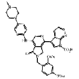 COc1ccc(CN2Cc3c(-c4cn(C(=O)O)c5ncccc45)ncc(Nc4ccc(N5CCN(C)CC5)cn4)c3C2=O)c(OC)c1